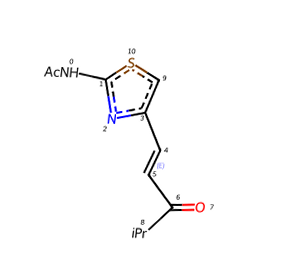 CC(=O)Nc1nc(/C=C/C(=O)C(C)C)cs1